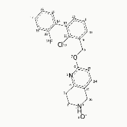 [O-][NH+]1CCc2nc(OCc3cccc(-c4ccccc4F)c3Cl)ccc2C1